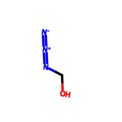 [N-]=[N+]=NCO